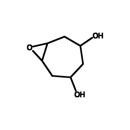 OC1CC(O)CC2OC2C1